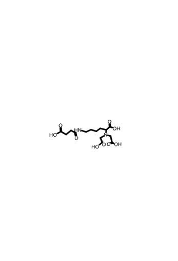 O=C(O)CCC(=O)NCCCCC(C(=O)O)N(CC(=O)O)CC(=O)O